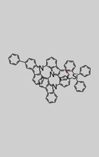 c1ccc(-c2ccc3c(c2)c2ccccc2n3-c2cccc3c4ccccc4n(-c4cccc5c6ccccc6n(-c6ccc([Si](c7ccccc7)(c7ccccc7)c7ccccc7)cc6)c45)c23)cc1